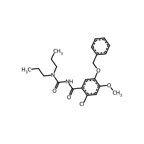 CCCN(CCC)C(=O)NC(=O)c1cc(OCc2ccccc2)c(OC)cc1Cl